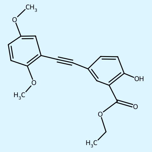 CCOC(=O)c1cc(C#Cc2cc(OC)ccc2OC)ccc1O